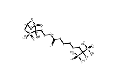 O=C(CCCCCC(O)(P(=O)(O)O)P(=O)(O)O)NCCC1(O)P(=O)(O)OC2OP1(=O)O2